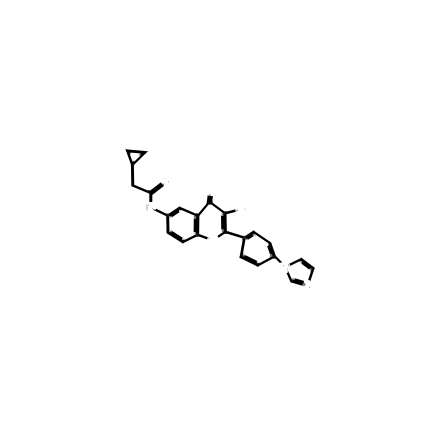 N=C(CC1CC1)Nc1ccc2oc(-c3ccc(-n4ccnc4)cc3)c(O)c(=O)c2c1